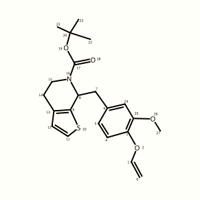 C=COc1ccc(CC2c3sccc3CCN2C(=O)OC(C)(C)C)cc1OC